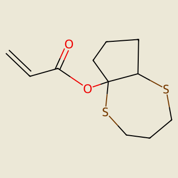 C=CC(=O)OC12CCCC1SCCCS2